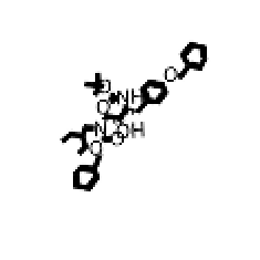 CCC(CC)CN(C[C@@H](O)[C@H](Cc1ccc(OCc2ccccc2)cc1)NC(=O)OC(C)(C)C)C(=O)OCc1ccccc1